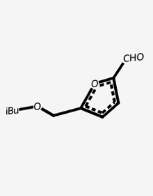 CCC(C)OCc1ccc(C=O)o1